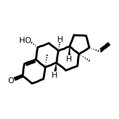 C=C[C@H]1CC[C@H]2[C@@H]3C[C@@H](O)C4=CC(=O)CC[C@]4(C)[C@H]3CC[C@]12C